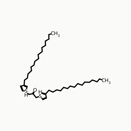 CCCCCCCCCCCCCCCCC1=C[SH](CC(=O)C[SH]2C=CC(CCCCCCCCCCCCCCCC)=C2)C=C1